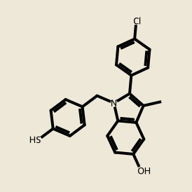 Cc1c(-c2ccc(Cl)cc2)n(Cc2ccc(S)cc2)c2ccc(O)cc12